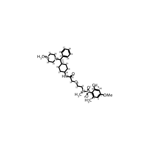 COc1cc(C)c(S(=O)(=O)N(C)CCOCC(=O)NC2CCC(C(c3ccccc3)N3CCN(C)CC3)CC2)c(C)c1